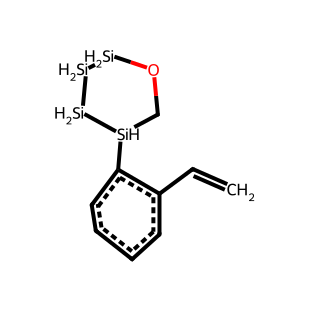 C=Cc1ccccc1[SiH]1CO[SiH2][SiH2][SiH2]1